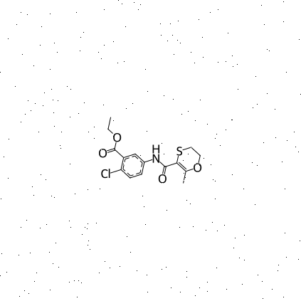 CCOC(=O)c1cc(NC(=O)C2=C(C)OCCS2)ccc1Cl